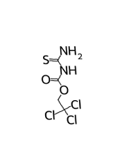 NC(=S)NC(=O)OCC(Cl)(Cl)Cl